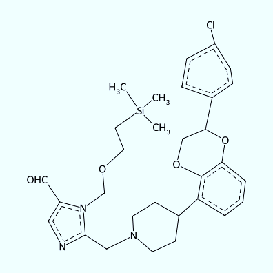 C[Si](C)(C)CCOCn1c(C=O)cnc1CN1CCC(c2cccc3c2OCC(c2ccc(Cl)cc2)O3)CC1